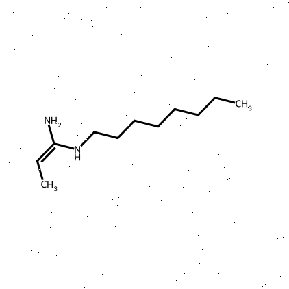 CC=C(N)NCCCCCCCC